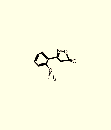 COc1ccccc1C1=NOC(=O)C1